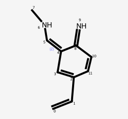 C=CC1=C/C(=C/NC)C(=N)C=C1